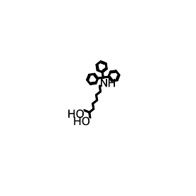 OCC(CO)CCCCCCNC(c1ccccc1)(c1ccccc1)c1ccccc1